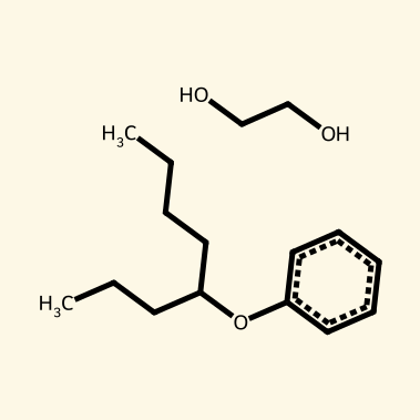 CCCCC(CCC)Oc1ccccc1.OCCO